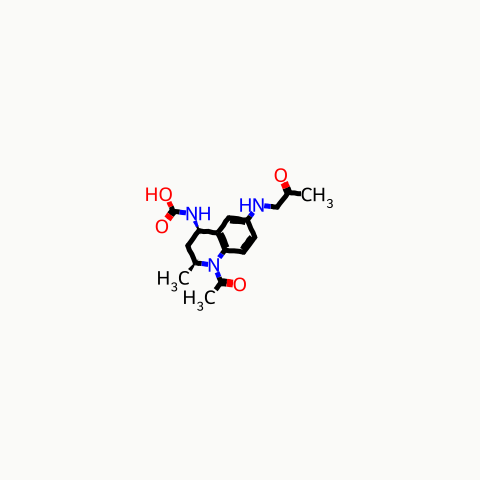 CC(=O)CNc1ccc2c(c1)[C@H](NC(=O)O)C[C@H](C)N2C(C)=O